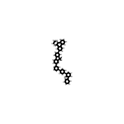 CC1(C)c2cc(-c3cccc(-c4ccc(-c5cccc6c5sc5ccccc56)cc4)c3)ccc2-c2ccc(-c3ccc4c5ccccc5c5nccnc5c4c3)cc21